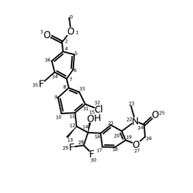 COC(=O)c1ccc(-c2ccc([C@H](C)[C@](O)(c3ccc4c(c3)N(C)C(=O)CO4)C(F)F)c(Cl)c2)c(F)c1